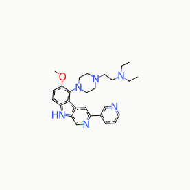 CCN(CC)CCN1CCN(c2c(OC)ccc3[nH]c4cnc(-c5cccnc5)cc4c23)CC1